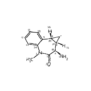 CN1C(=O)[C@H](N)[C@H]2C[C@H]2c2ccccc21